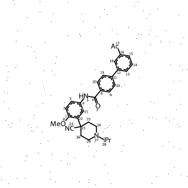 COc1ccc(NC(=O)c2ccc(-c3cccc(C(C)=O)c3)cc2)cc1C1(C#N)CCN(C(C)C)CC1